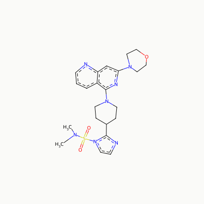 CN(C)S(=O)(=O)n1ccnc1C1CCN(c2nc(N3CCOCC3)cc3ncccc23)CC1